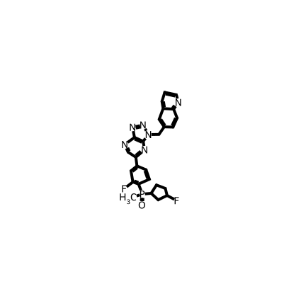 CP(=O)(c1ccc(-c2cnc3nnn(Cc4ccc5ncccc5c4)c3n2)cc1F)C1CCC(F)C1